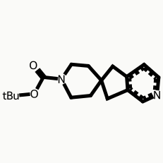 CC(C)(C)OC(=O)N1CCC2(CC1)Cc1ccncc1C2